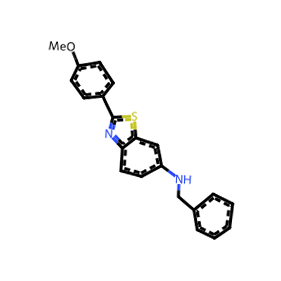 COc1ccc(-c2nc3ccc(NCc4ccccc4)cc3s2)cc1